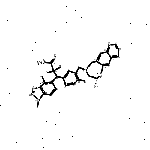 CC[C@@H]1CN(Cc2cc(C(c3ccc4c(nnn4C)c3C)C(C)(C)C(=O)OC)ccc2C)Cc2cc3ncccc3cc2O1